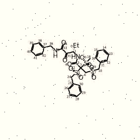 CC[C@H](NC(=O)C(CS(=O)(=O)Cc1ccccc1)(S(C)(=O)=O)S(=O)(=O)Cc1ccccc1)C(=O)C(=O)NCc1ccccc1